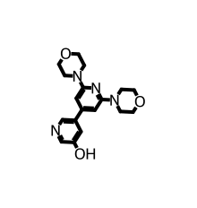 Oc1cncc(-c2cc(N3CCOCC3)nc(N3CCOCC3)c2)c1